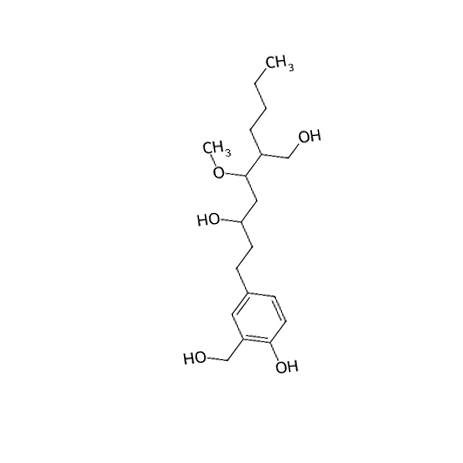 CCCCC(CO)C(CC(O)CCc1ccc(O)c(CO)c1)OC